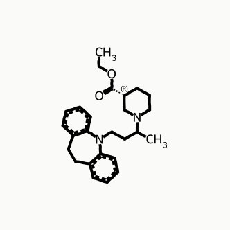 CCOC(=O)[C@@H]1CCCN(C(C)CCN2c3ccccc3CCc3ccccc32)C1